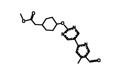 COC(=O)CC1CCC(Oc2ncc(-c3cc(C)c(C=O)cn3)cn2)CC1